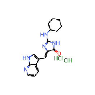 Cl.Cl.O=C1NC(NC2CCCCC2)=N/C1=C\c1c[nH]c2ncccc12